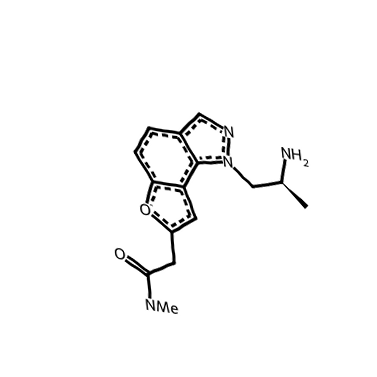 CNC(=O)Cc1cc2c(ccc3cnn(C[C@H](C)N)c32)o1